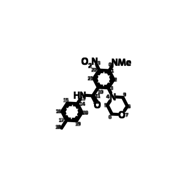 CNc1cc(N2CCOCC2)c(C(=O)Nc2ccc(C)cc2)cc1[N+](=O)[O-]